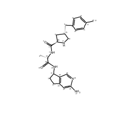 C[C@H](NC(=O)[C@H]1C[C@H](Cc2ccc(F)cc2)CN1)C(=O)NC1CCc2cc(N)ncc21